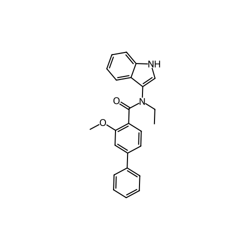 CCN(C(=O)c1ccc(-c2ccccc2)cc1OC)c1c[nH]c2ccccc12